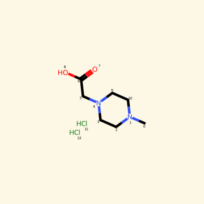 CN1CCN(CC(=O)O)CC1.Cl.Cl